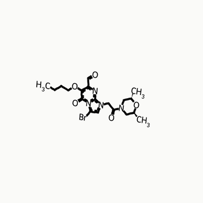 CCCCOc1c(C=O)nc2n(CC(=O)N3C[C@H](C)O[C@@H](C)C3)cc(Br)n2c1=O